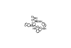 CCNC(=O)C(=O)CC[C@H](NC(=O)c1ccc2occc2c1)C(=O)Nc1cccn(CC(=O)NC2C3CC4CC2CC(NC(C)=O)(C4)C3)c1=O